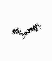 Cn1cc(-c2ccnc(Oc3ccc(NCCCCn4ccnc4[N+](=O)[O-])cc3)n2)c2ccccc21